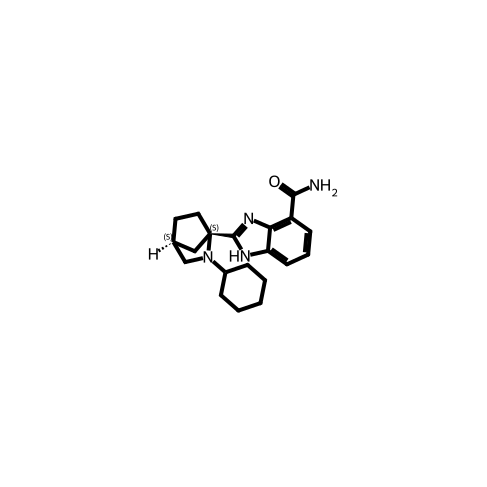 NC(=O)c1cccc2[nH]c([C@@]34CC[C@H](CN3C3CCCCC3)C4)nc12